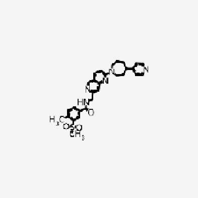 Cc1ccc(C(=O)NCc2cc3nc(N4CCCC(c5ccncc5)CC4)ccc3cn2)cc1S(C)(=O)=O